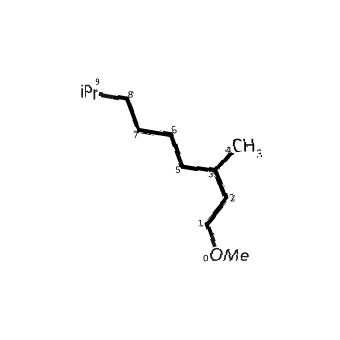 COCCC(C)CCCCC(C)C